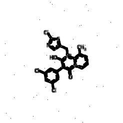 Cc1cccn2c(=O)c(-c3cc(Cl)cc(Cl)c3)c(O)[n+](Cc3cnc(Cl)s3)c12